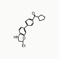 CCC1CNc2ccc(-c3ccc(C(=O)C4CCCC4)cc3)cc2O1